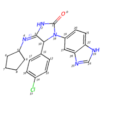 O=C1N/C(=N/C2CCCC2)C(c2ccc(Cl)cc2)N1c1ccc2[nH]cnc2c1